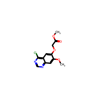 COC(=O)COc1cc2c(Cl)ncnc2cc1OC